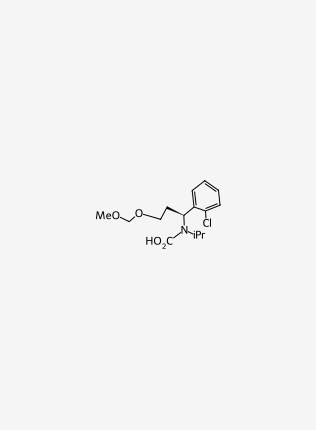 COCOCC[C@@H](c1ccccc1Cl)N(C(=O)O)C(C)C